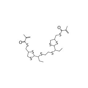 C=C(C)C(=O)SCC1CSC(C(CC)SCCSC(CC)C2SCC(CSC(=O)C(=C)C)S2)S1